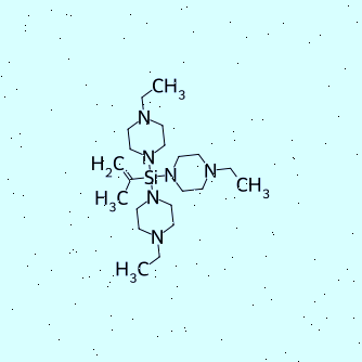 C=C(C)[Si](N1CCN(CC)CC1)(N1CCN(CC)CC1)N1CCN(CC)CC1